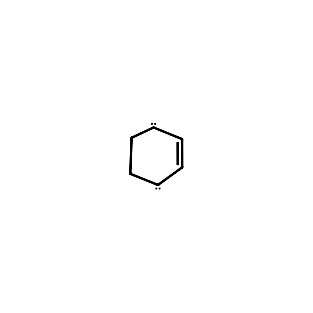 [C]1C=C[C]CC1